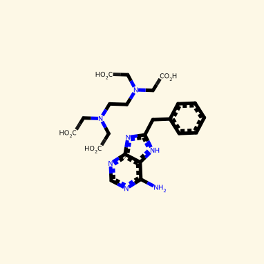 Nc1ncnc2nc(Cc3ccccc3)[nH]c12.O=C(O)CN(CCN(CC(=O)O)CC(=O)O)CC(=O)O